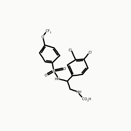 O=C(O)NCC(NS(=O)(=O)c1ccc(OC(F)(F)F)cc1)c1ccc(Cl)c(Cl)c1